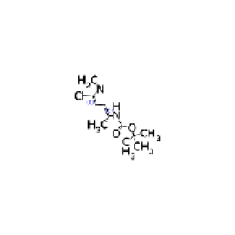 C=N/C(Cl)=C\C=C(/C)NC(=O)OC(C)(C)C